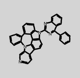 c1ccc(-c2nc(-n3c4cccc5c6ccccc6n6c7cnccc7c7ccc3c(c54)c76)nc3ccccc23)cc1